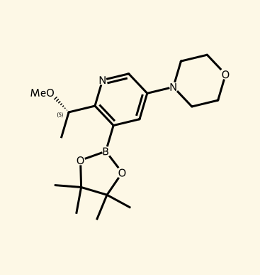 CO[C@@H](C)c1ncc(N2CCOCC2)cc1B1OC(C)(C)C(C)(C)O1